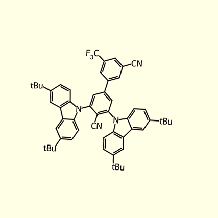 CC(C)(C)c1ccc2c(c1)c1cc(C(C)(C)C)ccc1n2-c1cc(-c2cc(C#N)cc(C(F)(F)F)c2)cc(-n2c3ccc(C(C)(C)C)cc3c3cc(C(C)(C)C)ccc32)c1C#N